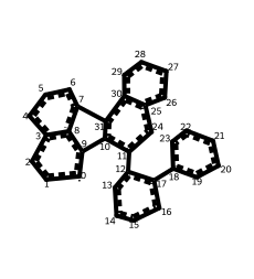 [c]1ccc2cccc3c2c1-c1c(-c2ccccc2-c2ccccc2)cc2ccccc2c1-3